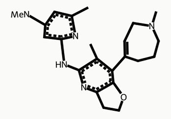 CNc1cc(C)nc(Nc2nc3c(c(C4=CCN(C)CCC4)c2C)OCC3)c1